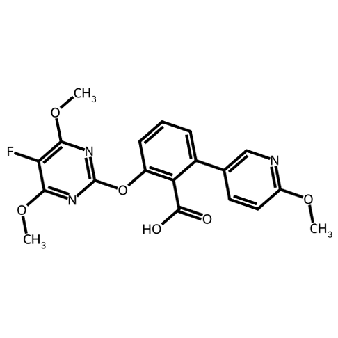 COc1ccc(-c2cccc(Oc3nc(OC)c(F)c(OC)n3)c2C(=O)O)cn1